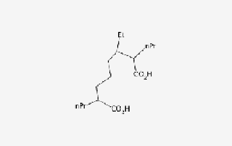 CCCC(CCCC(CC)C(CCC)C(=O)O)C(=O)O